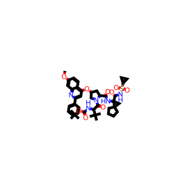 COc1ccc2c(OC3CC(C(=O)NC4(C(=O)NS(=O)(=O)C5CC5)CC45CCCC5)N(C(=O)C(NC(=O)OC(C)(C)C)C(C)(C)C)C3)cc(-c3ccccc3)nc2c1